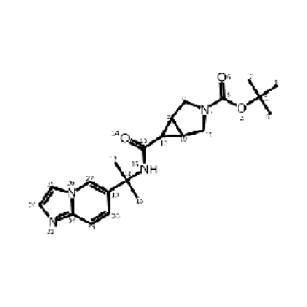 CC(C)(C)OC(=O)N1CC2C(C1)C2C(=O)NC(C)(C)c1ccc2nccn2c1